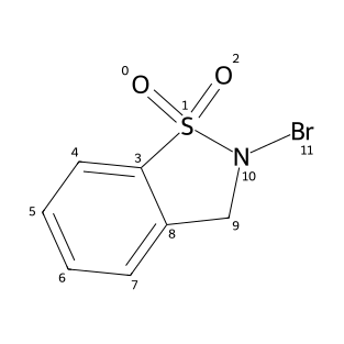 O=S1(=O)c2ccccc2CN1Br